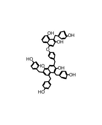 Oc1ccc(Cc2cc(Cc3ccc(O)cc3)c3c(Cc4ccc(O)cc4)c(O)c(Cc4ccc(Oc5cc(O)c(Cc6ccc(O)cc6)c6c(O)cccc56)cc4)cc3c2O)cc1